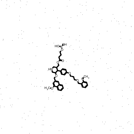 COc1ccccc1COCCCOc1ccc(C2C(COC(=O)CCCON(O)O)CNCC2OCc2cc(OC)c3ccccc3c2)cc1